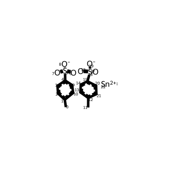 Cc1ccc(S(=O)(=O)[O-])cc1.Cc1ccc(S(=O)(=O)[O-])cc1.[Sn+2]